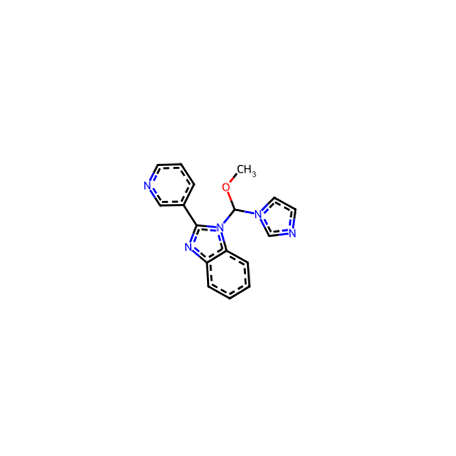 COC(n1ccnc1)n1c(-c2cccnc2)nc2ccccc21